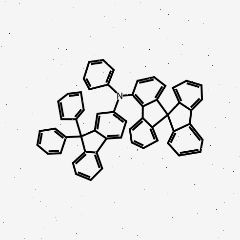 c1ccc(N(c2ccc3c(c2)C(c2ccccc2)(c2ccccc2)c2ccccc2-3)c2cccc3c2-c2ccccc2C32c3ccccc3-c3ccccc32)cc1